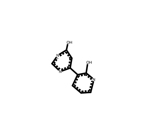 Oc1cc(-c2cccnc2O)ncn1